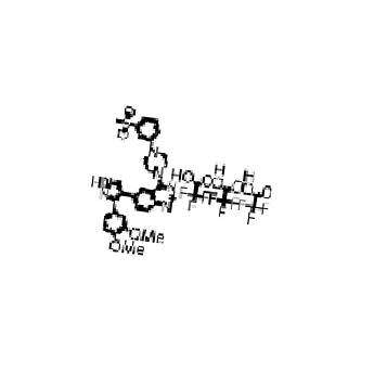 COc1ccc(-c2n[nH]cc2-c2ccc3ncnc(N4CCN(c5cccc(S(C)(=O)=O)c5)CC4)c3c2)cc1OC.O=C(O)C(F)(F)F.O=C(O)C(F)(F)F.O=C(O)C(F)(F)F